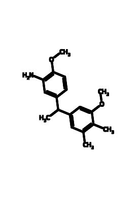 COc1ccc(C(C)c2cc(C)c(C)c(OC)c2)cc1N